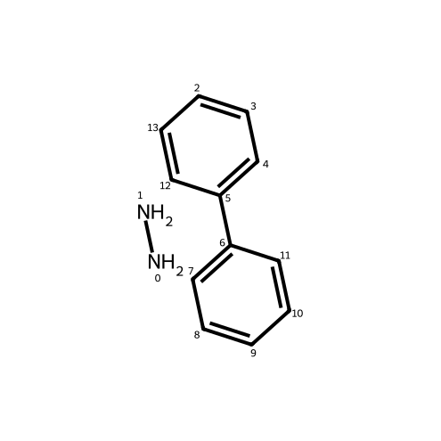 NN.c1ccc(-c2ccccc2)cc1